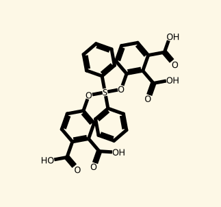 O=C(O)c1ccc(OS(Oc2cccc(C(=O)O)c2C(=O)O)(c2ccccc2)c2ccccc2)cc1C(=O)O